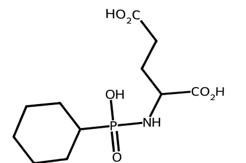 O=C(O)CCC(NP(=O)(O)C1CCCCC1)C(=O)O